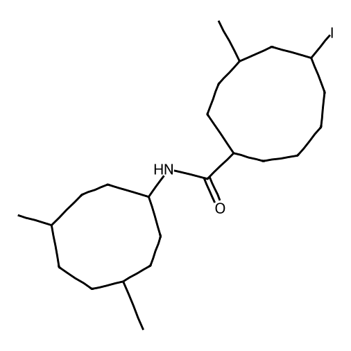 CC1CCC(C)CCC(NC(=O)C2CCCCC(I)CC(C)CC2)CC1